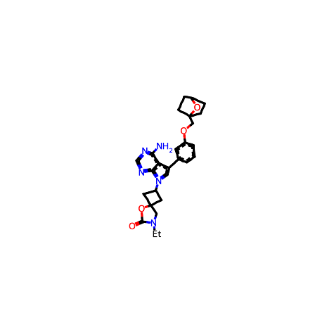 CCN1CC2(CC(n3cc(-c4cccc(OCC56CCC(CC5)O6)c4)c4c(N)ncnc43)C2)OC1=O